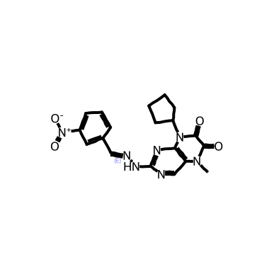 Cn1c(=O)c(=O)n(C2CCCC2)c2nc(N/N=C/c3cccc([N+](=O)[O-])c3)ncc21